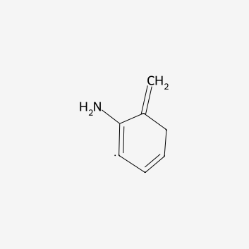 C=C1CC=C[C]=C1N